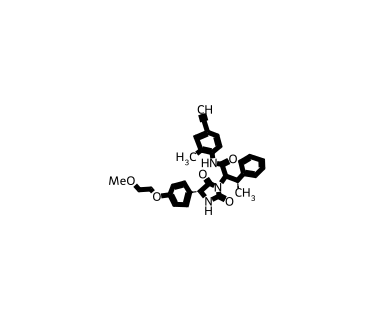 C#Cc1ccc(NC(=O)C([C@@H](C)c2ccccc2)N2C(=O)N[C@H](c3ccc(OCCOC)cc3)C2=O)c(C)c1